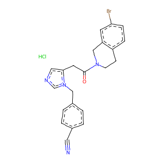 Cl.N#Cc1ccc(Cn2cncc2CC(=O)N2CCc3ccc(Br)cc3C2)cc1